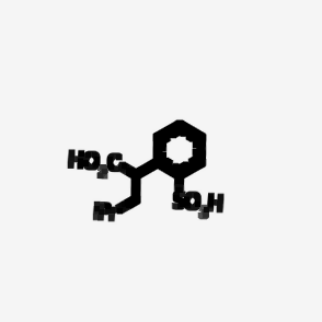 CC(C)CC(C(=O)O)c1ccccc1S(=O)(=O)O